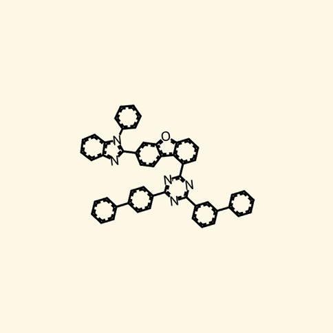 c1ccc(-c2ccc(-c3nc(-c4cccc(-c5ccccc5)c4)nc(-c4cccc5oc6cc(-c7nc8ccccc8n7-c7ccccc7)ccc6c45)n3)cc2)cc1